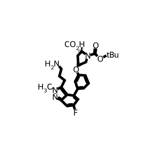 Cn1nc2cc(F)cc(-c3cccc(O[C@H]4C[C@@H](C(=O)O)N(C(=O)OC(C)(C)C)C4)c3)c2c1CCCN